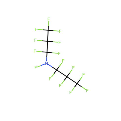 FN(C(F)(F)C(F)(F)C(F)(F)F)C(F)(F)C(F)(F)C(F)(F)F